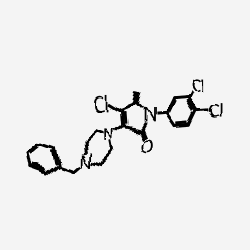 C=C1C(Cl)=C(N2CCN(Cc3ccccc3)CC2)C(=O)N1c1ccc(Cl)c(Cl)c1